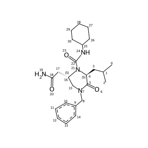 CC(C)C[C@H]1C(=O)N(Cc2ccccc2)C[C@H](CC(N)=O)N1C(=O)NC1CCCCC1